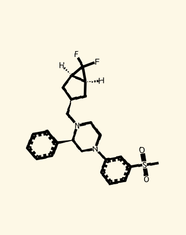 CS(=O)(=O)c1cccc(N2CCN(C[C@H]3C[C@@H]4[C@H](C3)C4(F)F)[C@H](c3ccccc3)C2)c1